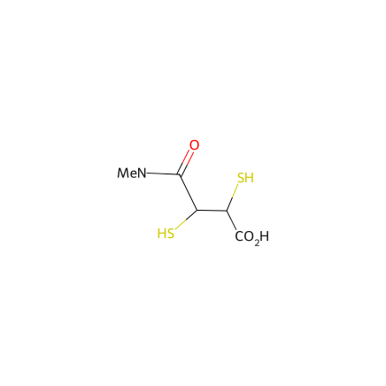 CNC(=O)C(S)C(S)C(=O)O